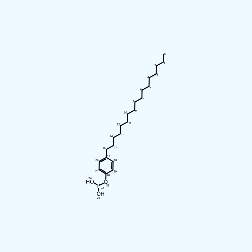 CCCCCCCCCCCCCCCCCc1ccc(OP(O)O)cc1